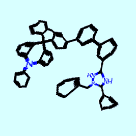 c1ccc(CN2NC(c3cccc(-c4cccc(-c5ccc6c(c5)-c5ccccc5C65c6ccccc6N(c6ccccc6)c6ccccc65)c4)c3)NC2c2ccccc2)cc1